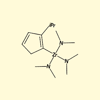 CC(C)C1=[C]([Zr]([N](C)C)([N](C)C)[N](C)C)CC=C1